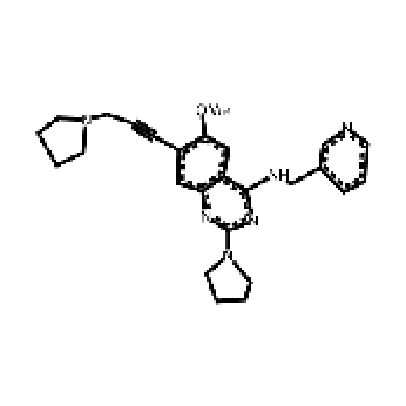 COc1cc2c(NCc3cccnc3)nc(N3CCCC3)nc2cc1C#CCN1CCCC1